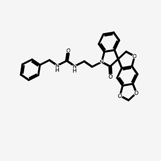 O=C(NCCN1C(=O)C2(COc3cc4c(cc32)OCO4)c2ccccc21)NCc1ccccc1